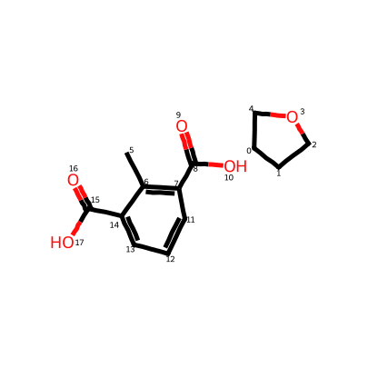 C1CCOC1.Cc1c(C(=O)O)cccc1C(=O)O